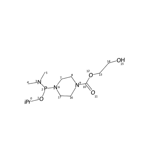 CC(C)OP(N(C)C)N1CCN(C(=O)OCCO)CC1